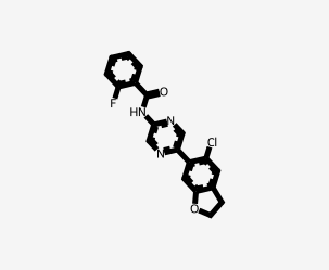 O=C(Nc1cnc(-c2cc3c(cc2Cl)CCO3)cn1)c1ccccc1F